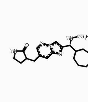 O=C(O)N[C@H](c1cn2ncc(CC3CCNC3=O)cc2n1)C1CCCCCC1